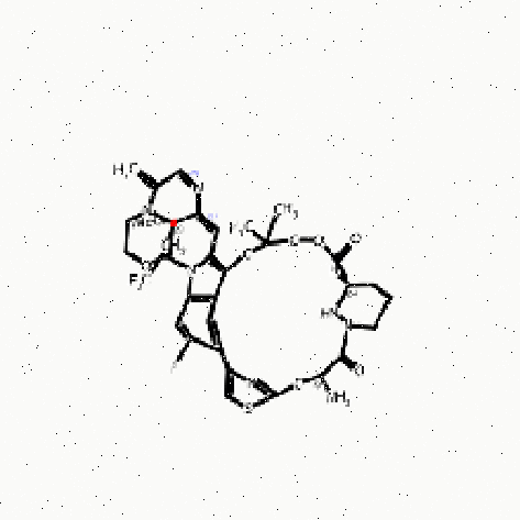 C=C(/C=N\C(=C\c1c2c3cc(c(F)cc3n1CC(F)(F)F)-c1csc(n1)C[C@H](N)C(=O)N1CCC[C@H](N1)C(=O)OCC(C)(C)C2)[C@H](C)OC)N1CCOCC1